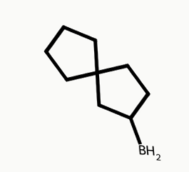 BC1CCC2(CCCC2)C1